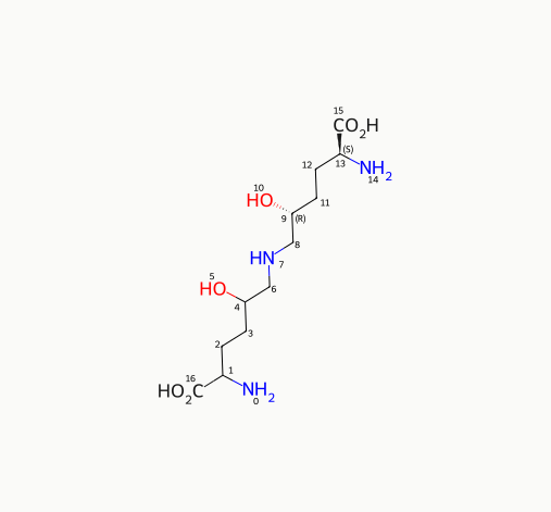 NC(CCC(O)CNC[C@H](O)CC[C@H](N)C(=O)O)C(=O)O